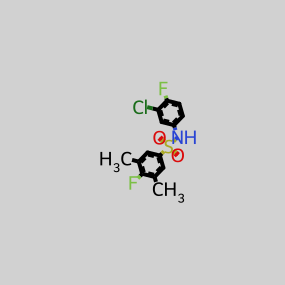 Cc1cc(S(=O)(=O)Nc2ccc(F)c(Cl)c2)cc(C)c1F